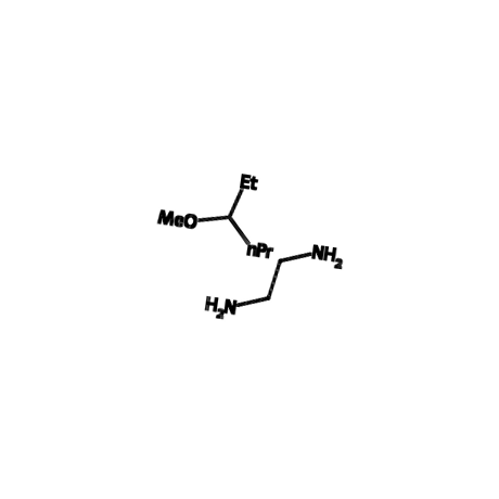 CCCC(CC)OC.NCCN